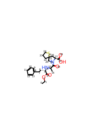 CCOC(=O)[C@H](CCc1ccccc1)NC(C)C(=O)N1CC2(CCCS2)C[C@H]1C(=O)O